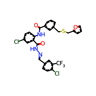 O=C(Nc1ccc(Cl)cc1C(=O)NN=Cc1ccc(Cl)c(C(F)(F)F)c1)c1cccc(CSCc2ccco2)c1